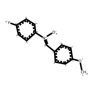 COc1ccc(/C=[N+](\[O-])c2ccc(F)cc2)cc1